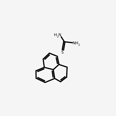 C1=Cc2cccc3cccc(c23)C1.NC(N)=S